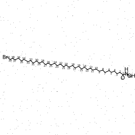 O=C(CCCCCCCCCCCCCCCCCCCCCCCCCCCCCCCCCCCCCCBr)NO